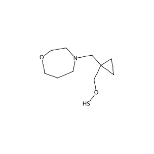 SOCC1(CN2CCCOCC2)CC1